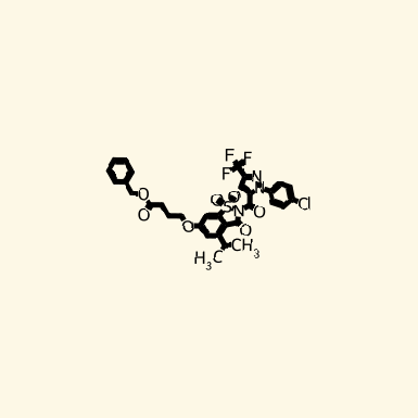 CC(C)c1cc(OCCCC(=O)OCc2ccccc2)cc2c1C(=O)N(C(=O)c1cc(C(F)(F)F)nn1-c1ccc(Cl)cc1)S2(=O)=O